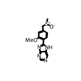 COc1cc(C[S+](C)[O-])ccc1-c1nc2ncncc2[nH]1